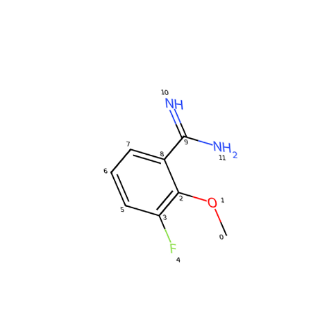 COc1c(F)cccc1C(=N)N